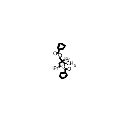 CC(C)CCC(COC(=O)c1ccccc1)(C(C)C)C(C)OC(=O)c1ccccc1